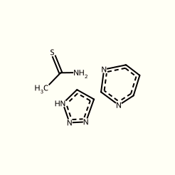 CC(N)=S.c1c[nH]nn1.c1cncnc1